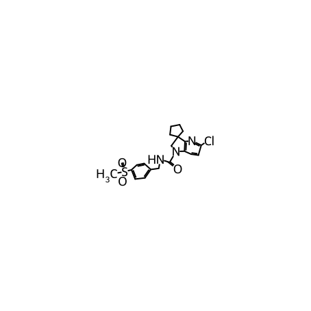 CS(=O)(=O)c1ccc(CNC(=O)N2CC3(CCCC3)c3nc(Cl)ccc32)cc1